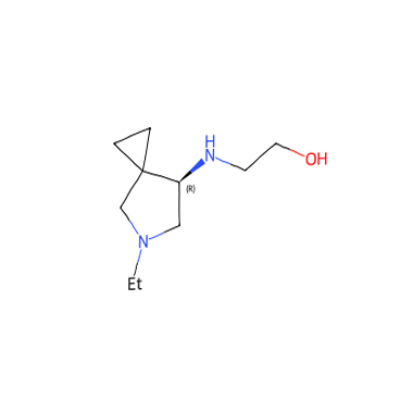 CCN1C[C@H](NCCO)C2(CC2)C1